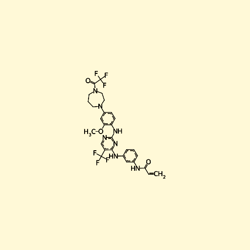 C=CC(=O)Nc1cccc(Nc2nc(Nc3ccc(N4CCCN(C(=O)C(F)(F)F)CC4)cc3OC)ncc2C(F)(F)F)c1